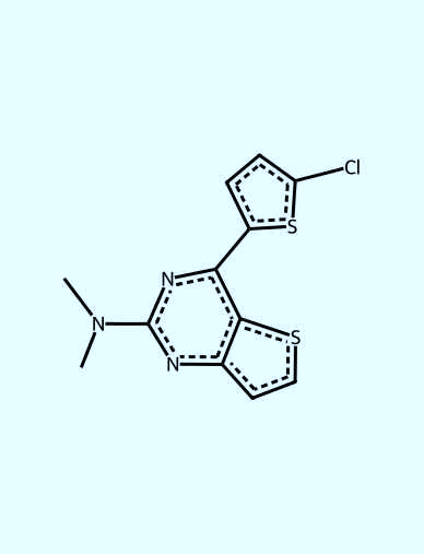 CN(C)c1nc(-c2ccc(Cl)s2)c2sccc2n1